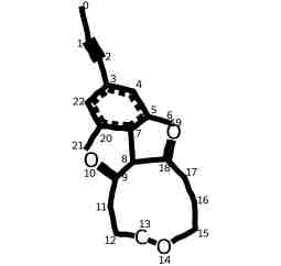 CC#Cc1cc(C)c(C2C(=O)CCCOCCCC2=O)c(C)c1